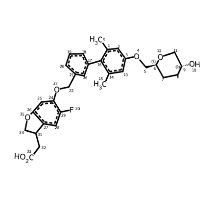 Cc1cc(OC[C@@H]2CC[C@@H](O)CO2)cc(C)c1-c1cccc(COc2cc3c(cc2F)C(CC(=O)O)CO3)c1